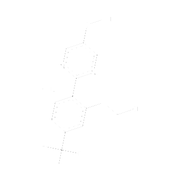 C.CCSc1cc(C(F)(F)F)ccc1-c1ncc(OC)cn1